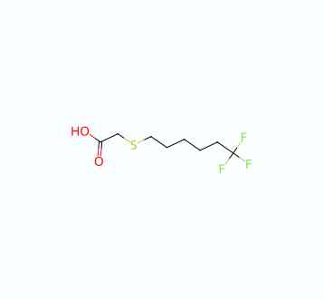 O=C(O)CSCCCCCC(F)(F)F